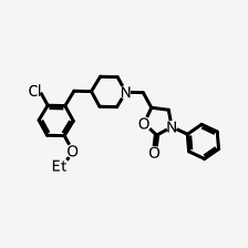 CCOc1ccc(Cl)c(CC2CCN(CC3CN(c4ccccc4)C(=O)O3)CC2)c1